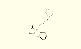 O=C1OC[C@H](Cc2ccccc2)N1OCCCCN1CCOCC1